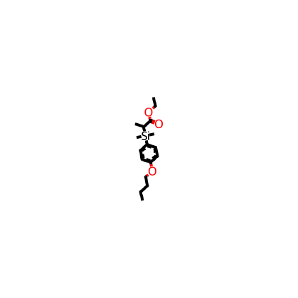 CCCCOc1ccc([Si](C)(C)C(C)C(=O)OCC)cc1